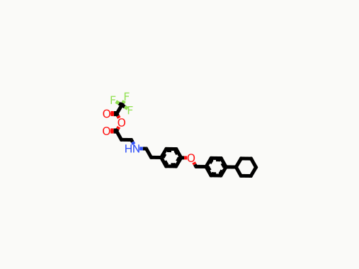 O=C(CCNCCc1ccc(OCc2ccc(C3CCCCC3)cc2)cc1)OC(=O)C(F)(F)F